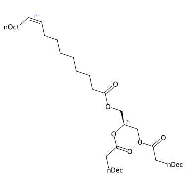 CCCCCCCC/C=C\CCCCCCCC(=O)OC[C@@H](COC(=O)CCCCCCCCCCC)OC(=O)CCCCCCCCCCC